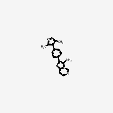 Cc1noc(C)c1-c1ccc(-c2nc3ccncn3c2N)cc1